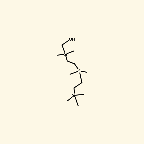 C[Si](C)(C)CC[Si](C)(C)CC[Si](C)(C)CO